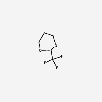 FC(F)(F)C1OCCCO1